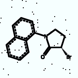 O=C1[C@@H](Br)CCN1c1cccc2ccccc12